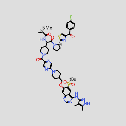 CN[C@@H](C)C(=O)NC(C(=O)N1CCC[C@H]1c1nc(C(=O)c2ccc(F)cc2)cs1)C1CCN(C(=O)c2cnc(N3CCC(COc4cc5ncnc(Nc6n[nH]c(C)c6C)c5cc4S(=O)(=O)C(C)(C)C)CC3)cn2)CC1